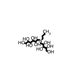 CCCCN(C[C@H](O)[C@@H](O)[C@H](O)[C@H](O)CO)C[C@H](O)[C@@H](O)[C@H](O)CO